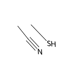 CC#N.CS